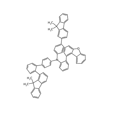 CC1(C)c2ccccc2-c2ccc(-c3ccc(N(c4ccc(-c5ccccc5-c5cccc6c5C(C)(C)c5ccccc5-6)cc4)c4ccccc4-c4cccc5oc6ccccc6c45)cc3)cc21